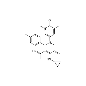 C=C/C(NC1CC1)=C(/C(C)=N)C(c1ccc(C)cc1)N(C)c1cc(C)c(=O)n(C)c1